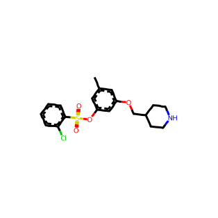 Cc1cc(OCC2CCNCC2)cc(OS(=O)(=O)c2ccccc2Cl)c1